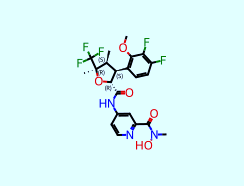 COc1c([C@H]2[C@H](C(=O)Nc3ccnc(C(=O)N(C)O)c3)O[C@@](C)(C(F)(F)F)[C@H]2C)ccc(F)c1F